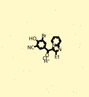 CCc1nc2ccccn2c1C(=O)c1cc(Br)c(O)c(C#N)c1.[Cl-].[H+]